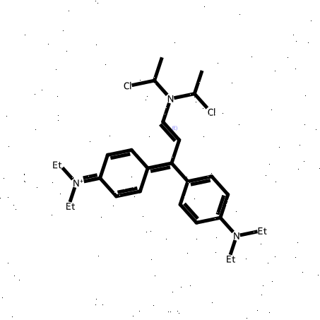 CCN(CC)c1ccc(C(/C=C/N(C(C)Cl)C(C)Cl)=C2C=CC(=[N+](CC)CC)C=C2)cc1